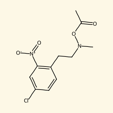 CC(=O)ON(C)CCc1ccc(Cl)cc1[N+](=O)[O-]